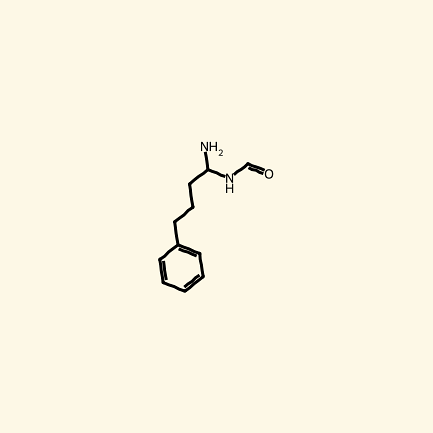 NC(CCCc1ccccc1)NC=O